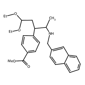 CCOC(CC(c1ccc(C(=O)OC)cc1)C(C)NCc1ccc2ccccc2c1)OCC